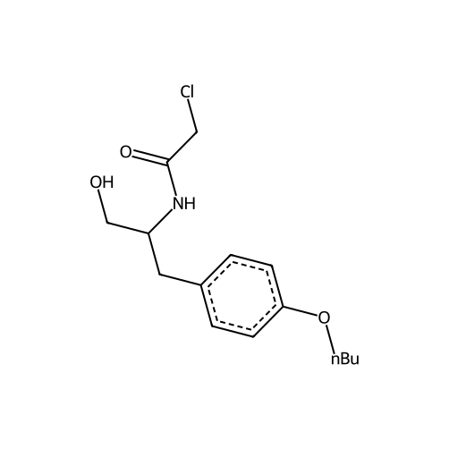 CCCCOc1ccc(CC(CO)NC(=O)CCl)cc1